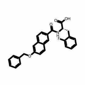 O=C(N[C@@H](Cc1ccccc1F)C(=O)O)c1ccc2cc(OCc3ccccc3)ccc2c1